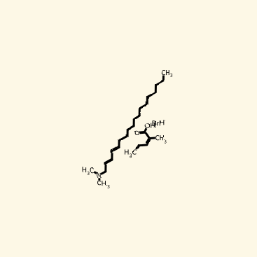 Br.CCC=C(C)C(=O)O.CCCCCCCCCCCCCCCCCCN(C)C